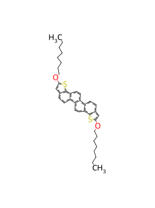 CCCCCCCCOc1cc2ccc3c4ccc5c(ccc6cc(OCCCCCCCC)sc65)c4ccc3c2s1